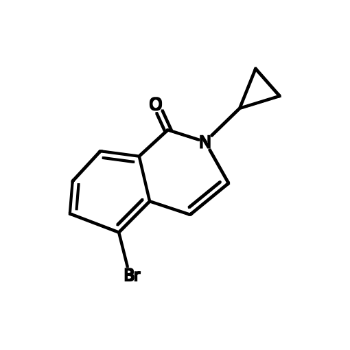 O=c1c2cccc(Br)c2ccn1C1CC1